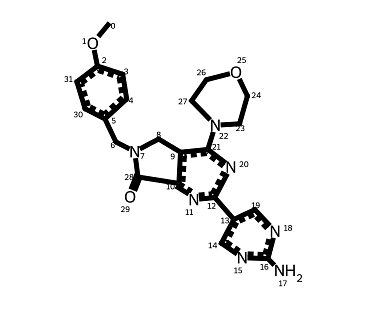 COc1ccc(CN2Cc3c(nc(-c4cnc(N)nc4)nc3N3CCOCC3)C2=O)cc1